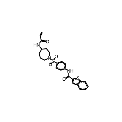 C=CC(=O)NC1CCCN(S(=O)(=O)c2ccc(NC(=O)c3cc4ccccc4s3)cc2)CC1